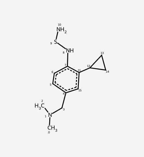 CN(C)Cc1ccc(NSN)c(C2CC2)c1